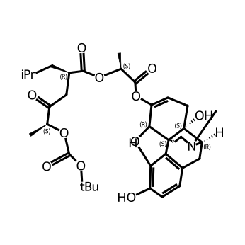 CC(C)C[C@H](CC(=O)[C@H](C)OC(=O)OC(C)(C)C)C(=O)O[C@@H](C)C(=O)OC1=CC[C@@]2(O)[C@H]3Cc4ccc(O)c5c4[C@@]2(CCN3C)[C@H]1O5